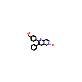 OCc1ccc(-c2nc3c(cc2-c2ccccc2)CN(O)C=C3)cc1